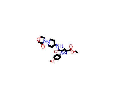 CCOC(=O)c1cc(C(=O)NC2CCN(N3CCOCC3=O)CC2)n(-c2ccc(OC)cc2)n1